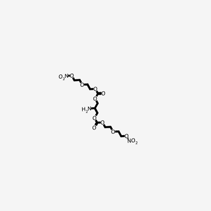 NC(COC(=O)OCCOCCO[N+](=O)[O-])COC(=O)OCCOCCO[N+](=O)[O-]